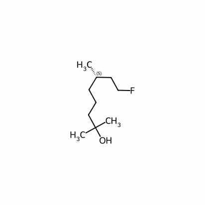 C[C@H](CCF)CCCC(C)(C)O